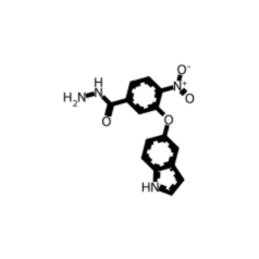 NNC(=O)c1ccc([N+](=O)[O-])c(Oc2ccc3[nH]ccc3c2)c1